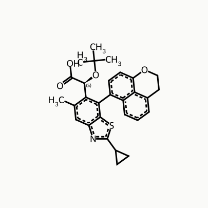 Cc1cc2nc(C3CC3)sc2c(-c2ccc3c4c(cccc24)CCO3)c1[C@H](OC(C)(C)C)C(=O)O